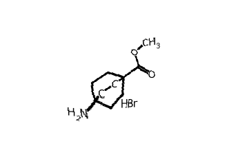 Br.COC(=O)C12CCC(N)(CC1)CC2